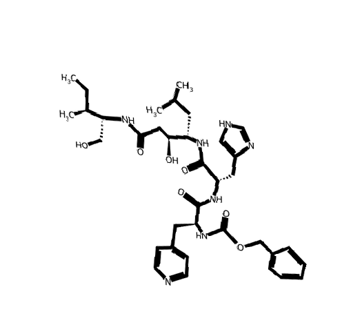 CC[C@H](C)[C@@H](CO)NC(=O)C[C@H](O)[C@H](CC(C)C)NC(=O)[C@H](Cc1c[nH]cn1)NC(=O)[C@H](Cc1ccncc1)NC(=O)OCc1ccccc1